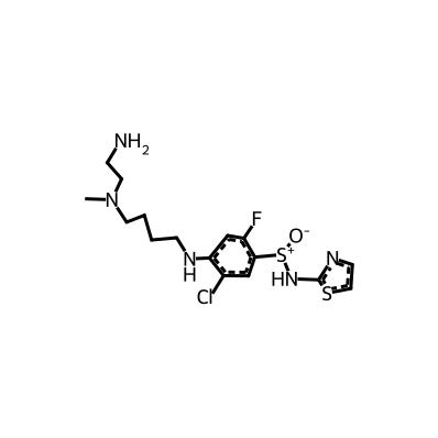 CN(CCN)CCCCNc1cc(F)c([S+]([O-])Nc2nccs2)cc1Cl